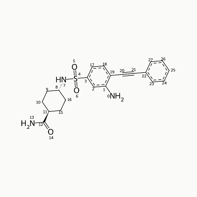 Nc1cc(S(=O)(=O)N[C@H]2CC[C@H](C(N)=O)CC2)ccc1C#Cc1ccccc1